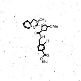 COC1C[C@@H](C(=O)N(C)Cc2ccccn2)N(C(=O)NCc2ccc(C(=O)OC(C)(C)C)cc2Cl)C1